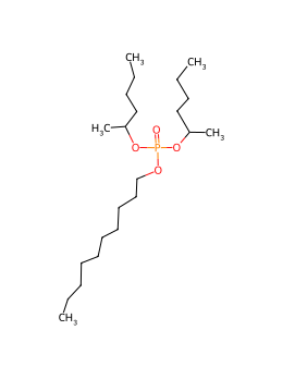 CCCCCCCCCCOP(=O)(OC(C)CCCC)OC(C)CCCC